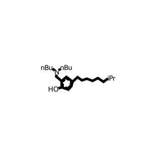 CCCCN(CCCC)Cc1cc(CCCCCCC(C)C)ccc1O